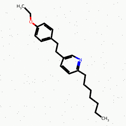 CCCCCCCc1ccc(CCc2ccc(OCC)cc2)cn1